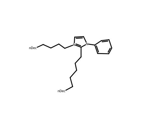 CCCCCCCCCCCCCCCc1n(-c2ccccc2)cc[n+]1CCCCCCCCCCCCCC